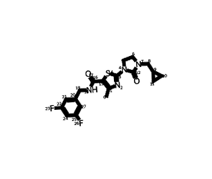 Cc1nc(N2CCN(CC3CC3)C2=O)sc1C(=O)NCc1cc(F)cc(F)c1